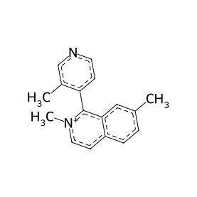 Cc1ccc2cc[n+](C)c(-c3ccncc3C)c2c1